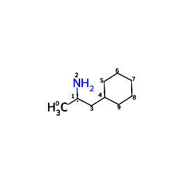 C[C](N)CC1CCCCC1